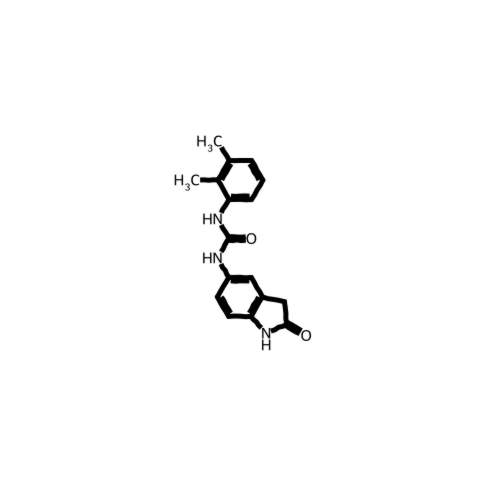 Cc1cccc(NC(=O)Nc2ccc3c(c2)CC(=O)N3)c1C